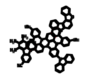 Bc1c(B)c(B)c2c(c1B)c1cc(C#N)ccc1n2-c1ccc2c(c1)N(c1ccc(C(C)(C)C)cc1-c1ccccc1)c1cc(-c3cccc4c3oc3ccc5oc6ccccc6c5c34)cc3c1B2c1ccc(-n2c4ccccc4c4ccccc42)cc1N3c1ccc(C(C)(C)C)cc1-c1ccccc1